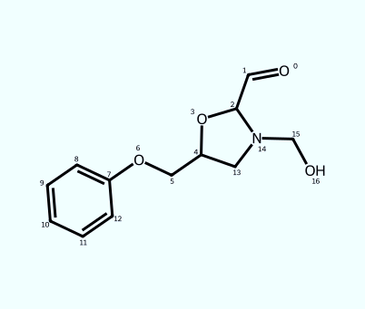 O=CC1OC(COc2ccccc2)CN1CO